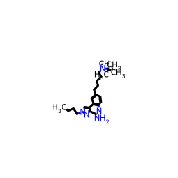 CCCCn1cc2c(n1)c(N)nc1ccc(CCCCCN(C)C(C)(C)C)cc12